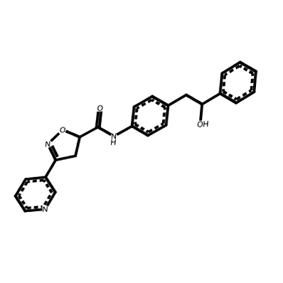 O=C(Nc1ccc(CC(O)c2ccccc2)cc1)C1CC(c2cccnc2)=NO1